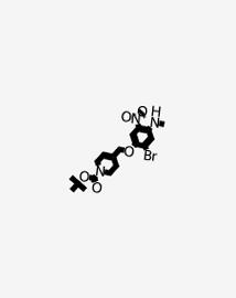 CNc1cc(Br)c(OCC2=CCN(C(=O)OC(C)(C)C)CC2)cc1[N+](=O)[O-]